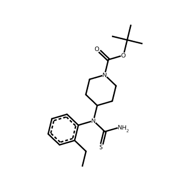 CCc1ccccc1N(C(N)=S)C1CCN(C(=O)OC(C)(C)C)CC1